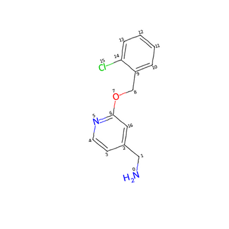 NCc1ccnc(OCc2ccccc2Cl)c1